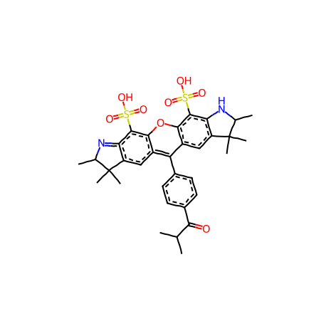 CC(C)C(=O)c1ccc(C2=c3cc4c(c(S(=O)(=O)O)c3Oc3c2cc2c(c3S(=O)(=O)O)NC(C)C2(C)C)=NC(C)C4(C)C)cc1